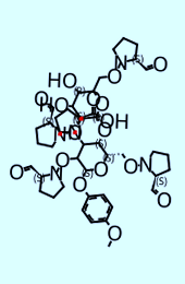 COc1ccc(O[C@@H]2O[C@@H](CON3CCC[C@H]3C=O)[C@@H](O[C@@H]3OC(CON4CCC[C@H]4C=O)[C@H](O)C(O)[C@@H]3ON3CCC[C@H]3C=O)C(N3CCC[C@H]3C(=O)O)C2ON2CCC[C@H]2C=O)cc1